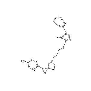 Cn1c(SCCCN2CC[C@]3(C[C@H]3c3ccc(C(F)(F)F)cc3)C2)nnc1-c1cccnc1